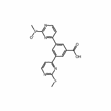 CSc1nccc(-c2cc(C(=O)O)cc(-c3ccnc([S+](C)[O-])n3)c2)n1